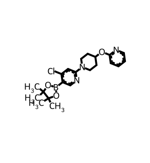 CC1(C)OB(c2cnc(N3CCC(Oc4ccccn4)CC3)cc2Cl)OC1(C)C